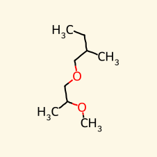 CCC(C)COCC(C)OC